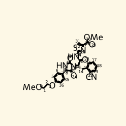 COCCOc1ccc([C@H]2NC(=O)N([C@@H](Cc3ccccc3C#N)C(=O)Nc3nc(C(=O)OC)cs3)C2=O)cc1